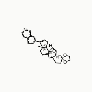 C[C@]12CC=C3C=C4CCC5(C[C@]46CC[C@]3(O6)[C@@H]1CC=C2c1ccc2ccncc2c1)OCCO5